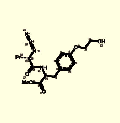 COC(=O)[C@H](Cc1ccc(OCCO)cc1)NC(=O)[C@@H](N=[N+]=[N-])C(C)C